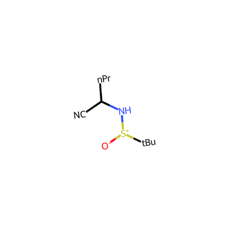 CCCC(C#N)N[S+]([O-])C(C)(C)C